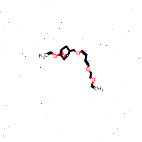 C=COCCO/C=C/C=C\OCC1CC2OC1CC2OC=C